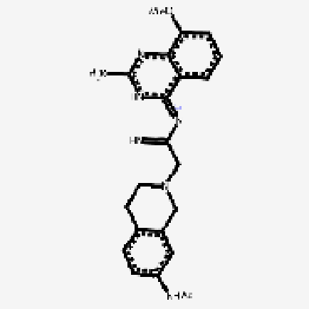 COc1cccc2/c(=N/C(=N)CN3CCc4ccc(NC(C)=O)cc4C3)[nH]c(N)nc12